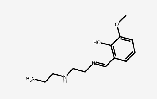 COc1cccc(C=NCCNCCN)c1O